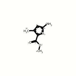 COC(=O)c1sc(N)cc1C